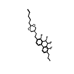 CCCCCC1OCC(CCc2ccc3c(c2F)C(F)C(F)c2c-3ccc(CCC)c2F)CO1